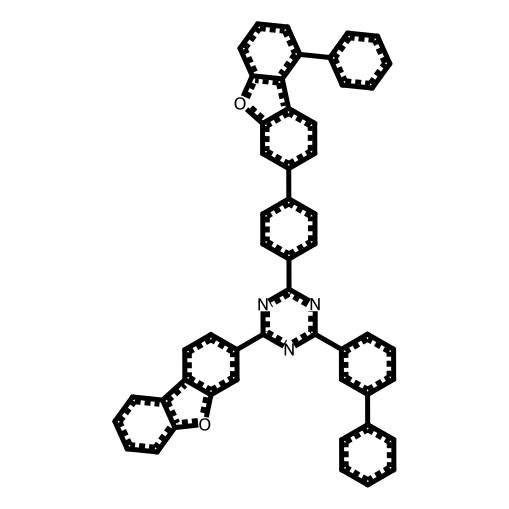 c1ccc(-c2cccc(-c3nc(-c4ccc(-c5ccc6c(c5)oc5cccc(-c7ccccc7)c56)cc4)nc(-c4ccc5c(c4)oc4ccccc45)n3)c2)cc1